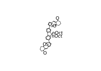 CCCCCCCCC1(CCCCCCCC)c2cc(-c3ccc(C=C4C(=O)CCCC4=O)s3)ccc2-c2ccc(-c3ccc(C=C4C(=O)CCCC4=O)s3)cc21